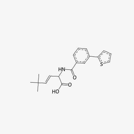 CC(C)(C)C=CC(NC(=O)c1cccc(-c2cccs2)c1)C(=O)O